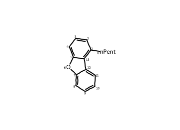 [CH2]CCCCc1cccc2oc3ccccc3c12